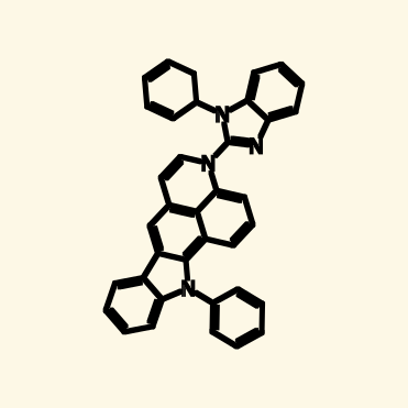 C1=CCC(n2c(N3C=Cc4cc5c6ccccc6n(-c6ccccc6)c5c5cccc3c45)nc3ccccc32)C=C1